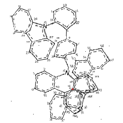 c1ccc(N(c2ccc(-c3ccccc3-n3c4ccccc4c4ccccc43)cc2)c2cccc3oc4ccccc4c23)c(-c2cccc3oc4c5ccccc5ccc4c23)c1